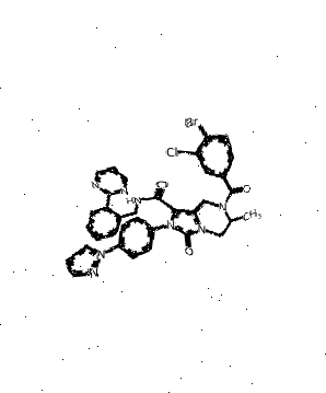 CC1Cn2c(c(C(=O)NCc3ccccc3-c3ncccn3)n(-c3ccc(-n4cccn4)cc3)c2=O)CN1C(=O)c1ccc(Br)c(Cl)c1